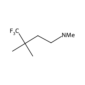 CNCCC(C)(C)C(F)(F)F